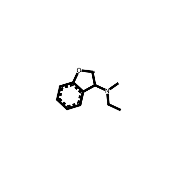 CCN(C)C1[C]Oc2ccccc21